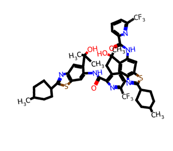 CC1CCC(c2nc3cc(C(C)(C)O)c(NC(=O)c4nc(C(F)(F)F)ccc4CC(C)(O)c4cc5nc(C6CCC(C)CC6)sc5cc4NC(=O)c4cccc(C(F)(F)F)n4)cc3s2)CC1